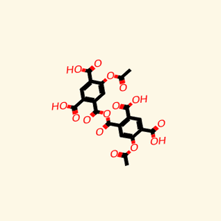 CC(=O)Oc1cc(C(=O)OC(=O)c2cc(OC(C)=O)c(C(=O)O)cc2C(=O)O)c(C(=O)O)cc1C(=O)O